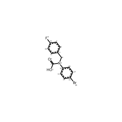 O=C(O)N(Cc1ccc(F)cc1)c1ccc(Br)cc1